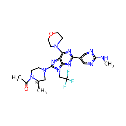 CNc1ncc(-c2nc(N3CCOCC3)c3nc(N4CCN(C(C)=O)[C@H](C)C4)n(CC(F)(F)F)c3n2)cn1